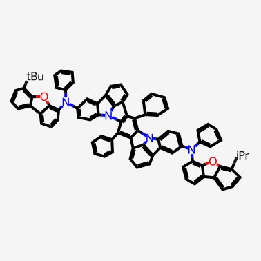 CC(C)c1cccc2c1oc1c(N(c3ccccc3)c3ccc4c(c3)c3cccc5c6c(-c7ccccc7)c7c(c(-c8ccccc8)c6n4c35)c3cccc4c5cc(N(c6ccccc6)c6cccc8c6oc6c(C(C)(C)C)cccc68)ccc5n7c43)cccc12